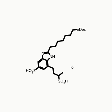 CCCCCCCCCCCCCCCCCc1nc2cc(S(=O)(=O)O)cc(CCC(C)S(=O)(=O)O)c2[nH]1.[K]